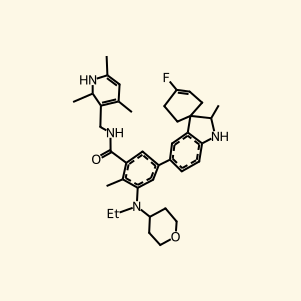 CCN(c1cc(-c2ccc3c(c2)C2(CC=C(F)CC2)C(C)N3)cc(C(=O)NCC2=C(C)C=C(C)NC2C)c1C)C1CCOCC1